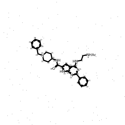 CC(=O)NCCNc1nc(-c2ccccc2)nc2[nH]c(C(=O)NC3CCN(Cc4ccccc4)CC3)cc12